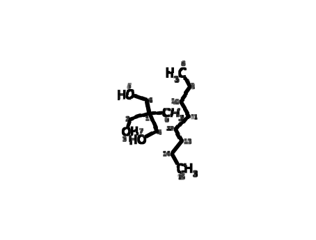 CC(CO)(CO)CO.CCCCCCCC